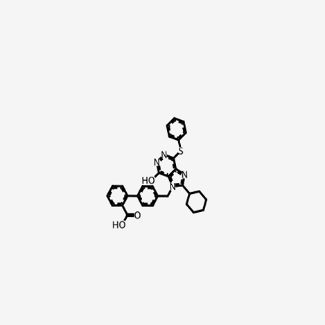 O=C(O)c1ccccc1-c1ccc(Cn2c(C3CCCCC3)nc3c(Sc4ccccc4)nnc(O)c32)cc1